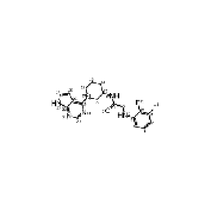 O=C(CNc1cccc(F)c1F)NC1CCCN(c2ncnc3[nH]ccc23)C1